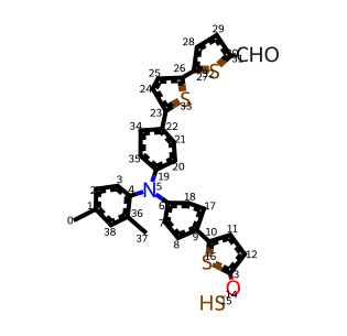 Cc1ccc(N(c2ccc(-c3ccc(OS)s3)cc2)c2ccc(-c3ccc(-c4ccc(C=O)s4)s3)cc2)c(C)c1